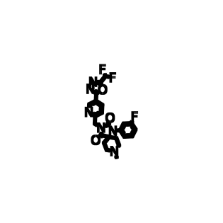 CN1CCC2(CC1)C(=O)N(Cc1ccc(-c3nnc(C(F)F)o3)cn1)C(=O)N2c1cccc(F)c1